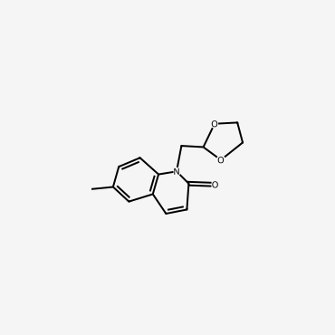 Cc1ccc2c(ccc(=O)n2CC2OCCO2)c1